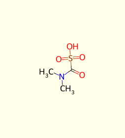 CN(C)C(=O)S(=O)(=O)O